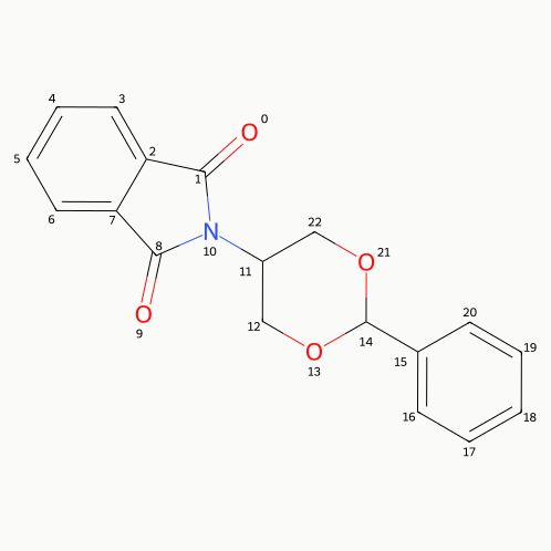 O=C1c2ccccc2C(=O)N1C1COC(c2ccccc2)OC1